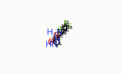 C[C@@H]1C(=O)NCCCN1C(=O)CC(N)Cc1cc(F)c(F)cc1F